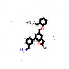 CC(=O)c1cc2cc(COc3ccccc3CC(=O)O)cc(-c3cccc(CN)c3)c2o1